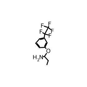 CCC(N)Oc1cccc(C(F)(F)C(F)(F)F)c1